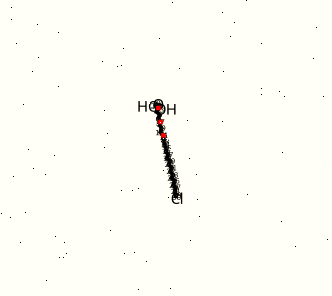 O=P(O)(O)CCCCCCCCCCCCCCCCCCCCCCCCCCCl